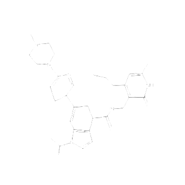 CCCc1cc(C)[nH]c(=O)c1CNC(=O)C1CC(C2C=NC(N3CCN(C)CC3)=CC2)=Cc2c1ccn2C(C)C